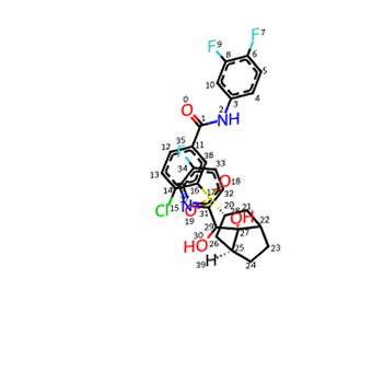 O=C(Nc1ccc(F)c(F)c1)c1ccc(Cl)c(S(=O)(=O)[C@@H]2CC3CC[C@@H](C2)[C@@]3(O)C(O)c2ccc(F)cn2)c1